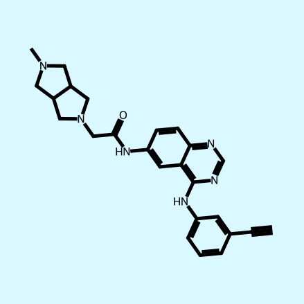 C#Cc1cccc(Nc2ncnc3ccc(NC(=O)CN4CC5CN(C)CC5C4)cc23)c1